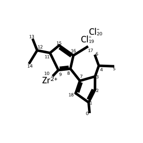 CC1=CC(C(C)C)C(C2=[C]([Zr+2])C(C(C)C)C=C2C)=C1.[Cl-].[Cl-]